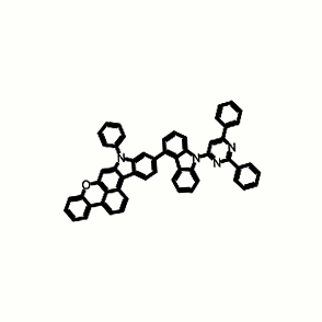 c1ccc(-c2cc(-n3c4ccccc4c4c(-c5ccc6c7c8cccc9c8c(cc7n(-c7ccccc7)c6c5)Oc5ccccc5-9)cccc43)nc(-c3ccccc3)n2)cc1